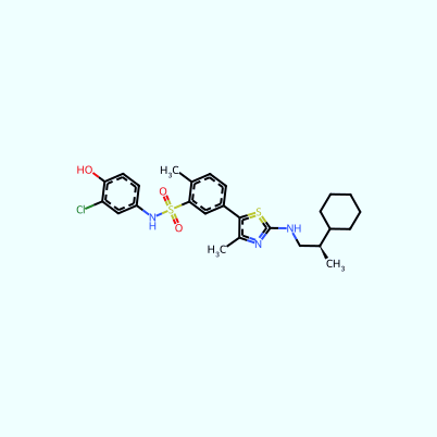 Cc1ccc(-c2sc(NC[C@H](C)C3CCCCC3)nc2C)cc1S(=O)(=O)Nc1ccc(O)c(Cl)c1